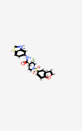 O=C(Nc1ccc2scnc2c1)[C@@H]1CCN(S(=O)(=O)c2ccc3c(c2)CCO3)C[C@H]1F